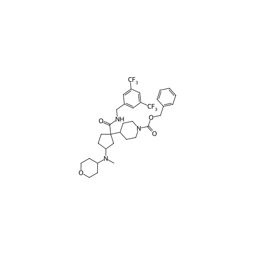 CN(C1CCOCC1)C1CCC(C(=O)NCc2cc(C(F)(F)F)cc(C(F)(F)F)c2)(C2CCN(C(=O)OCc3ccccc3)CC2)C1